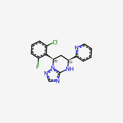 Fc1cccc(Cl)c1[C@H]1C[C@@H](c2ccccn2)Nc2ncnn21